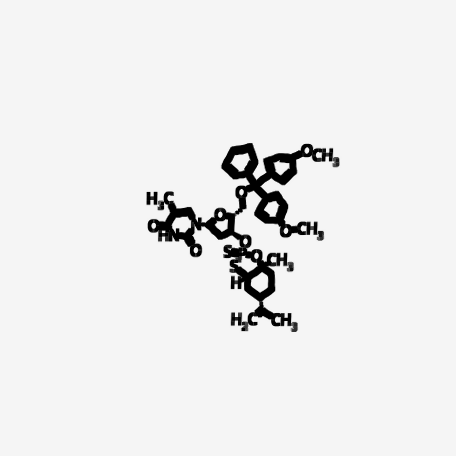 C=C(C)[C@H]1CC[C@@]2(C)OP(=S)(O[C@H]3C[C@H](n4cc(C)c(=O)[nH]c4=O)O[C@@H]3COC(c3ccccc3)(c3ccc(OC)cc3)c3ccc(OC)cc3)S[C@@H]2C1